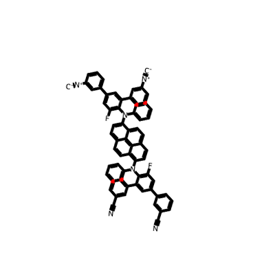 [C-]#[N+]c1cccc(-c2cc(F)c(N(c3ccccc3)c3ccc4ccc5c(N(c6ccccc6)c6c(F)cc(-c7cccc(C#N)c7)cc6-c6cccc(C#N)c6)ccc6ccc3c4c65)c(-c3cccc([N+]#[C-])c3)c2)c1